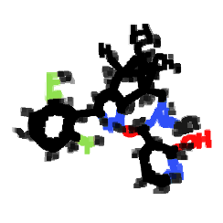 CCN(C[C@@]12CC[C@@H](c3cc(-c4c(F)cccc4F)nnc31)C2(C)C)C(=O)c1cccnc1O